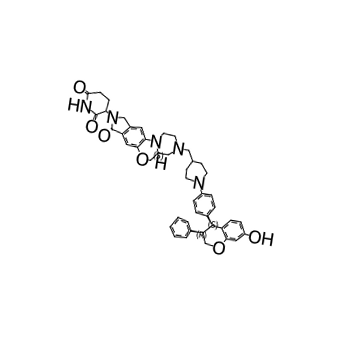 O=C1CCC(N2Cc3cc4c(cc3C2=O)OC[C@@H]2CN(CC3CCN(c5ccc([C@H]6c7ccc(O)cc7OC[C@H]6c6ccccc6)cc5)CC3)CCN42)C(=O)N1